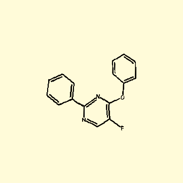 Fc1cnc(-c2ccccc2)nc1Oc1ccccc1